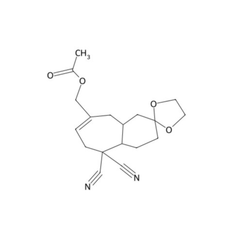 CC(=O)OCC1=CCC(C#N)(C#N)C2CCC3(CC2C1)OCCO3